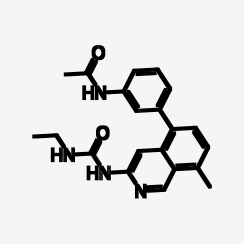 CCNC(=O)Nc1cc2c(-c3cccc(NC(C)=O)c3)ccc(C)c2cn1